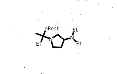 CCCCCC(C)(CC)N1CCC(N(CC)CC)C1